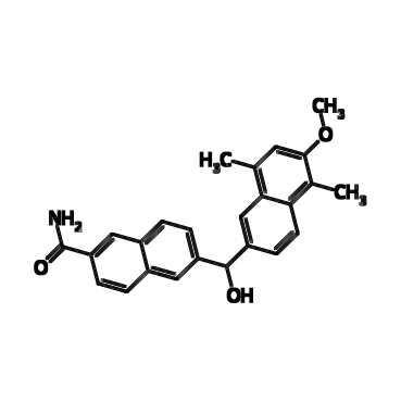 COc1cc(C)c2cc(C(O)c3ccc4cc(C(N)=O)ccc4c3)ccc2c1C